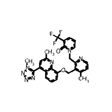 Cc1cc(-c2nnnn2C)c2cccc(OCc3c(C)ccnc3Cn3cccc(C(F)(F)F)c3=O)c2n1